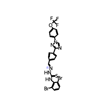 FC(F)(F)Oc1ccc(-n2cnc(-c3ccc(/C=N/NC(=S)Nc4c(Br)cccc4Br)cc3)n2)cc1